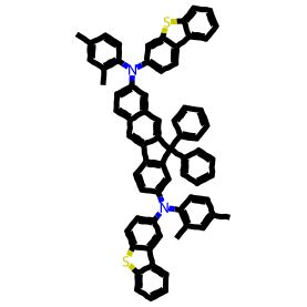 Cc1ccc(N(c2ccc3cc4c(cc3c2)C(c2ccccc2)(c2ccccc2)c2cc(N(c3ccc5sc6ccccc6c5c3)c3ccc(C)cc3C)ccc2-4)c2ccc3c(c2)sc2ccccc23)c(C)c1